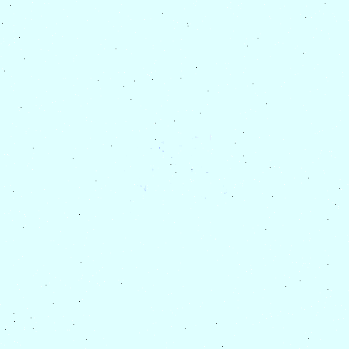 CC(=O)Nc1cccc2c1=C(Sc1ccc(Cl)cc1)C(C)(CC(=O)O)N=2